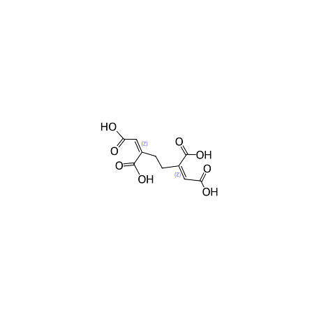 O=C(O)/C=C(/CC/C(=C/C(=O)O)C(=O)O)C(=O)O